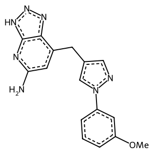 COc1cccc(-n2cc(Cc3cc(N)nc4[nH]nnc34)cn2)c1